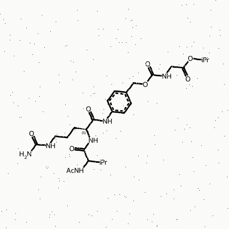 CC(=O)NC(C(=O)N[C@@H](CCCNC(N)=O)C(=O)Nc1ccc(COC(=O)NCC(=O)OC(C)C)cc1)C(C)C